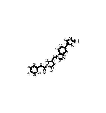 C[C@@H]1CC(Cn2cnc3cc(-c4cn[nH]c4)ccc32)CN1C(=O)Cc1ccccc1